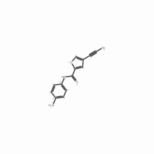 CC(=O)C#Cc1coc(C(=O)Nc2ccc(N)cc2)c1